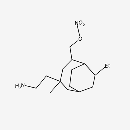 CCC1CC2CCC1C(CO[N+](=O)[O-])CC(C)(CCN)C2